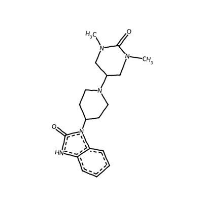 CN1CC(N2CCC(n3c(=O)[nH]c4ccccc43)CC2)CN(C)C1=O